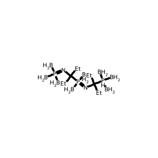 BP(B)(B)=NC(CC)(CC)P(B)(B)=NC(CC)(CC)[PH](B)(B)B